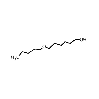 CCCCCOCCCCCCO